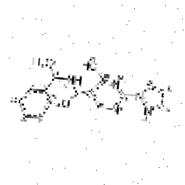 CC(NC(=O)c1cnc(-n2cccn2)nc1O)c1ccccc1